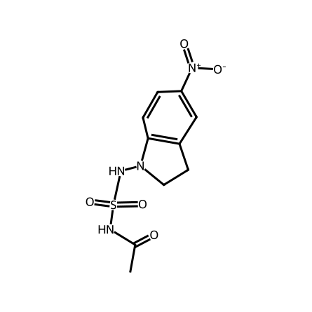 CC(=O)NS(=O)(=O)NN1CCc2cc([N+](=O)[O-])ccc21